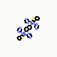 c1ccc2c3c(sc2c1)N(c1cnccn1)B(c1ccc2cc(B4N(c5cnccn5)c5sc6ccccc6c5N4c4cnccn4)ccc2c1)N3c1cnccn1